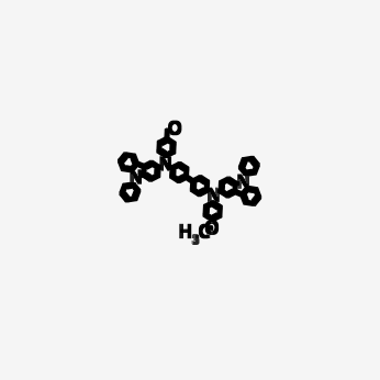 COc1ccc(N(c2ccc(-c3ccc(N(c4ccc(C=O)cc4)c4ccc5c(c4)c4ccccc4n5-c4ccccc4)cc3)cc2)c2ccc3c(c2)c2ccccc2n3-c2ccccc2)cc1